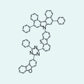 c1ccc(-c2nc(-c3ccc4oc5ccccc5c4c3)nc(-c3cccc4c3sc3cc(-n5c6cc(-c7ccccc7)c7ccccc7c6c6c7ccccc7c(-c7ccccc7)cc65)ccc34)n2)cc1